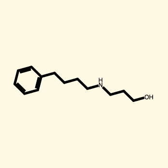 OCCCNCCCCc1ccccc1